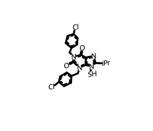 CC(C)c1nc2c(=O)n(Cc3ccc(Cl)cc3)c(=O)n(Cc3ccc(Cl)cc3)c2n1S